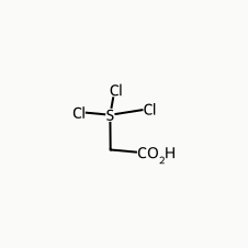 O=C(O)CS(Cl)(Cl)Cl